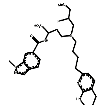 COCC(F)CN(CCCCc1ccc2c(n1)NCCC2)CCC(NC(=O)c1ccc2cnn(C)c2c1)C(=O)O